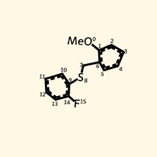 COc1ccccc1CSc1ccccc1F